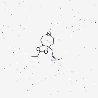 C/C=C\CC1(OC(=O)CC)CCN(C)CCC1C